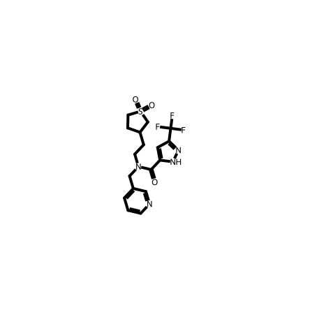 O=C(c1cc(C(F)(F)F)n[nH]1)N(CCC1CCS(=O)(=O)C1)Cc1cccnc1